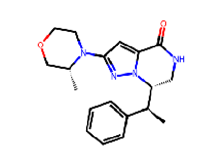 C[C@@H]1COCCN1c1cc2n(n1)[C@@H]([C@@H](C)c1ccccc1)CNC2=O